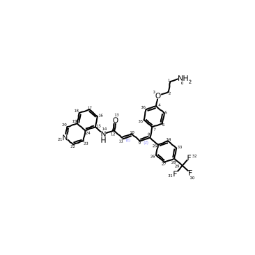 NCCOc1ccc(/C(=C\C=C\C(=O)Nc2cccc3cnccc23)c2ccc(C(F)(F)F)cc2)cc1